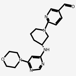 O=Cc1ccc(N2CCC[C@@H](Nc3cc(N4CCOCC4)ncn3)C2)nc1